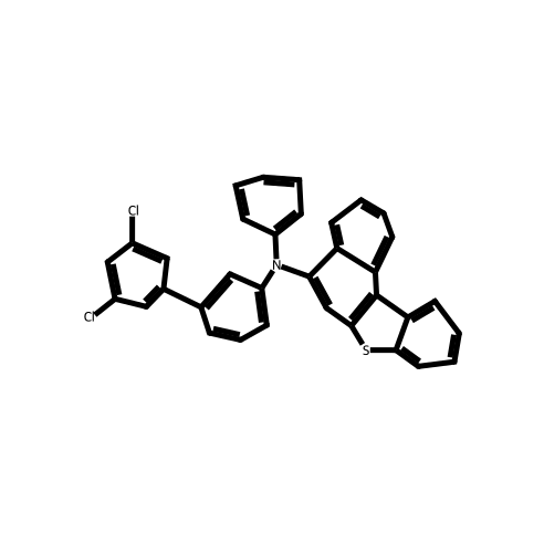 Clc1cc(Cl)cc(-c2cccc(N(c3ccccc3)c3cc4sc5ccccc5c4c4ccccc34)c2)c1